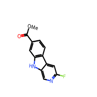 COC(=O)c1ccc2c(c1)[nH]c1cnc(F)cc12